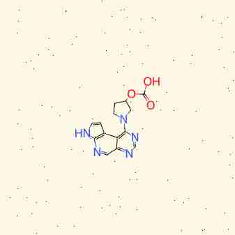 O=C(O)OC1CCN(c2ncnc3cnc4[nH]ccc4c23)C1